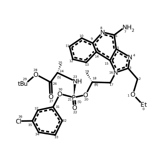 CCOCc1nc2c(N)nc3ccccc3c2n1C[C@@H](C)O[P@@](=O)(N[C@@H](C)C(=O)OC(C)(C)C)Oc1cccc(Cl)c1